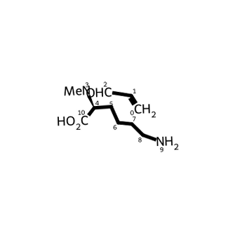 C=CC=O.CN[C@@H](CCCCN)C(=O)O